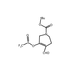 CC(C)(C)OC(=O)N1CCC(C=O)=C(OS(=O)C(F)(F)F)C1